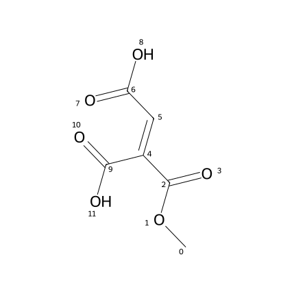 COC(=O)/C(=C/C(=O)O)C(=O)O